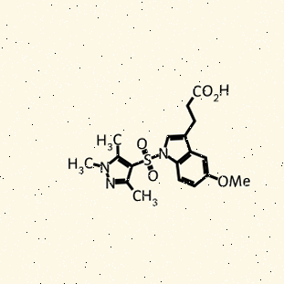 COc1ccc2c(c1)c(CCC(=O)O)cn2S(=O)(=O)c1c(C)nn(C)c1C